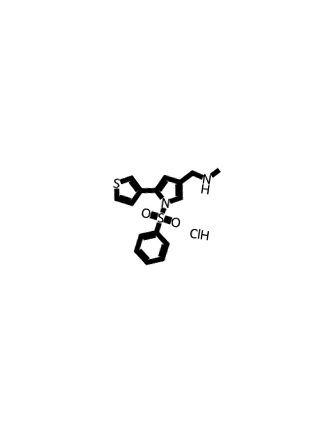 CNCc1cc(-c2ccsc2)n(S(=O)(=O)c2ccccc2)c1.Cl